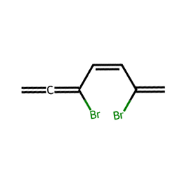 C=C=C(Br)/C=C\C(=C)Br